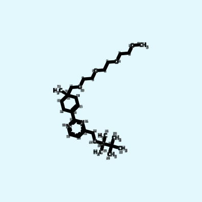 COCCOCCOCCOC[C@]1(C)CC=C(c2nccc(CO[Si](C)(C)C(C)(C)C)n2)CC1